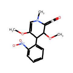 COC1=CN(C)C(=C=O)C(OC)C1c1ccccc1[N+](=O)[O-]